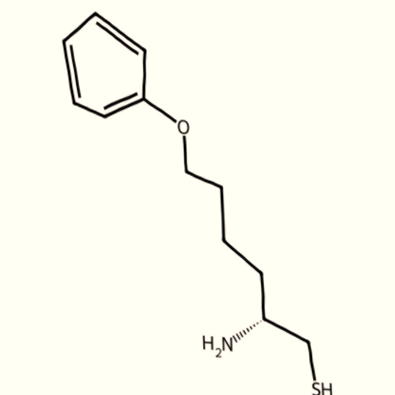 N[C@@H](CS)CCCCOc1ccccc1